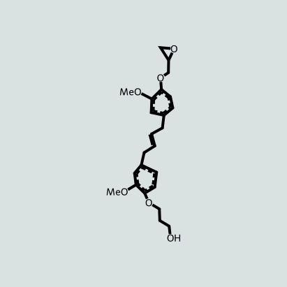 COc1cc(CC=CCc2ccc(OCC3CO3)c(OC)c2)ccc1OCCCO